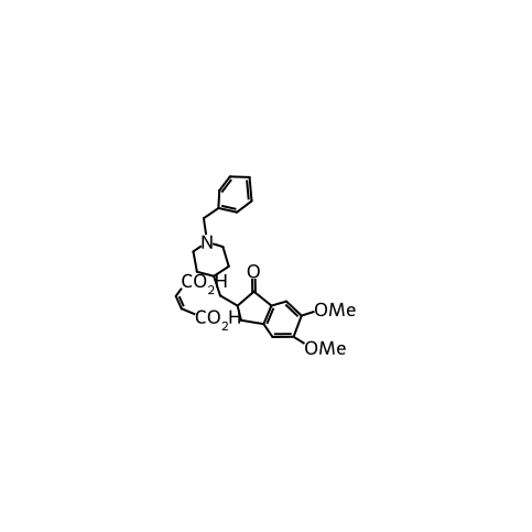 COc1cc2c(cc1OC)C(=O)C(CC1CCN(Cc3ccccc3)CC1)C2.O=C(O)/C=C\C(=O)O